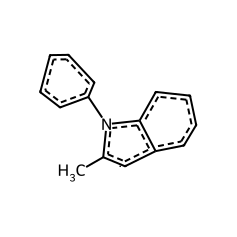 Cc1[c]c2ccccc2n1-c1ccccc1